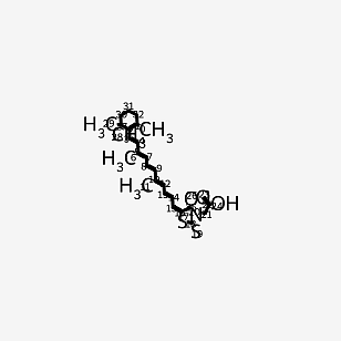 CC1=C(/C=C/C(C)=C/C=C/C(C)=C/C=C/C=C2/SC(=S)N(CC(=O)O)C2=O)C(C)(C)CCC1